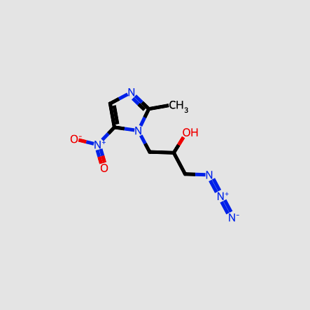 Cc1ncc([N+](=O)[O-])n1CC(O)CN=[N+]=[N-]